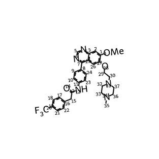 COc1cc2ncnc(-c3ccc(NC(=O)Cc4ccc(C(F)(F)F)cc4)cc3)c2cc1OCCN1CCN(C)CC1